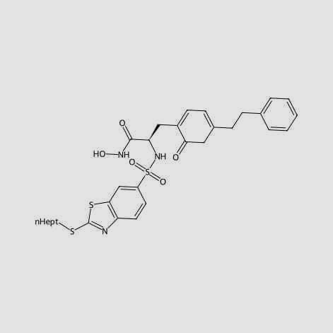 CCCCCCCSc1nc2ccc(S(=O)(=O)N[C@H](CC3=CC=C(CCc4ccccc4)CC3=O)C(=O)NO)cc2s1